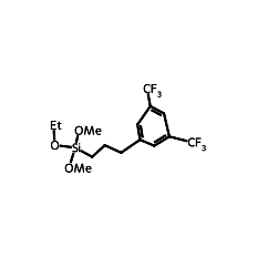 CCO[Si](CCCc1cc(C(F)(F)F)cc(C(F)(F)F)c1)(OC)OC